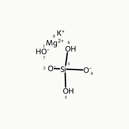 [K+].[Mg+2].[O-][Si]([O-])(O)O.[OH-]